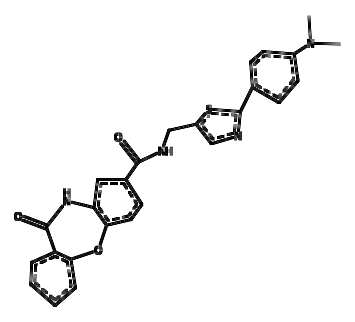 CN(C)c1ccc(-c2ncc(CNC(=O)c3ccc4c(c3)NC(=O)c3ccccc3O4)s2)cc1